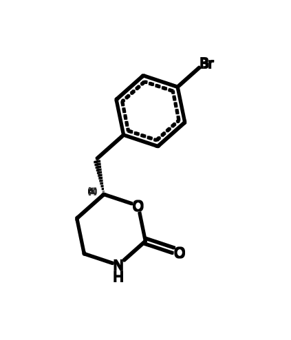 O=C1NCC[C@H](Cc2ccc(Br)cc2)O1